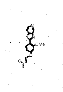 COc1cc(OCC[S+](C)[O-])ccc1-c1nc2cnccc2[nH]1